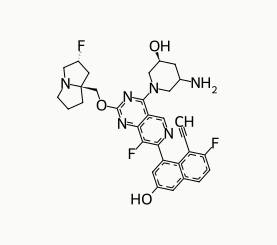 C#Cc1c(F)ccc2cc(O)cc(-c3ncc4c(N5CC(N)C[C@H](O)C5)nc(OC[C@@]56CCCN5C[C@H](F)C6)nc4c3F)c12